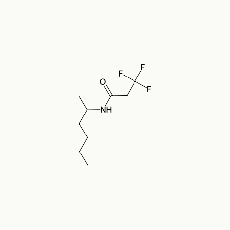 CCCCC(C)NC(=O)CC(F)(F)F